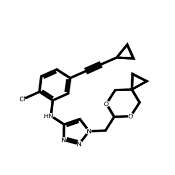 Clc1ccc(C#CC2CC2)cc1Nc1cn(CC2OCC3(CC3)CO2)nn1